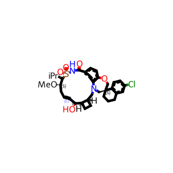 CO[C@H]1C/C=C/[C@H](O)[C@@H]2CC[C@H]2CN2C[C@@]3(CCCc4cc(Cl)ccc43)COc3ccc(cc32)C(=O)NS(=O)(=O)C1C(C)C